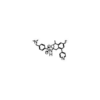 CC(C)c1cc(F)cc(-c2ccncc2)c1CC(=O)NS(=O)(=O)c1ccc(CN(C)C)cc1